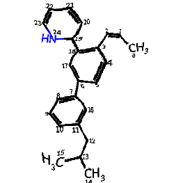 C/C=C\c1ccc(-c2cccc(CC(C)C)c2)cc1C1C=CC=CN1